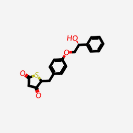 O=C1CC(=O)C(Cc2ccc(OC[C@H](O)c3ccccc3)cc2)S1